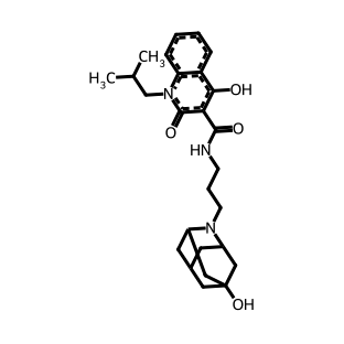 CC(C)Cn1c(=O)c(C(=O)NCCCN2C3CC4CC2CC(O)(C4)C3)c(O)c2ccccc21